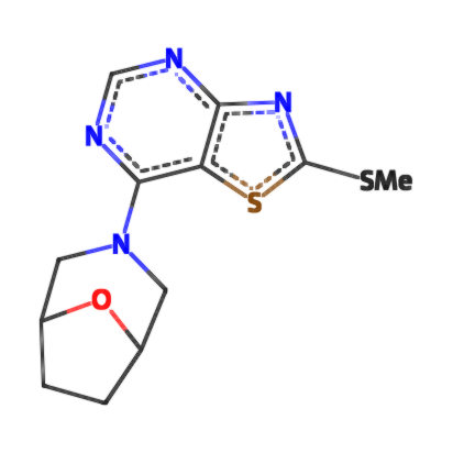 CSc1nc2ncnc(N3CC4CCC(C3)O4)c2s1